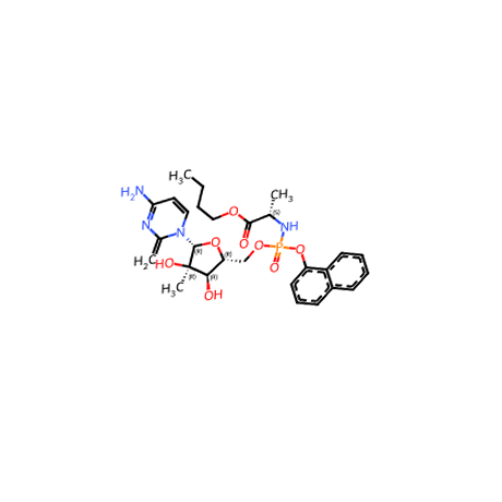 C=C1N=C(N)C=CN1[C@@H]1O[C@H](COP(=O)(N[C@@H](C)C(=O)OCCCC)Oc2cccc3ccccc23)[C@@H](O)[C@@]1(C)O